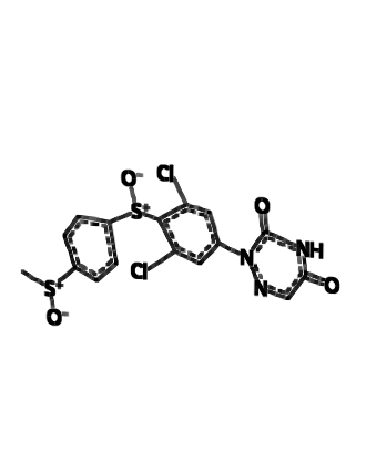 C[S+]([O-])c1ccc([S+]([O-])c2c(Cl)cc(-n3ncc(=O)[nH]c3=O)cc2Cl)cc1